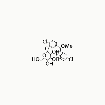 COC(=C1C2CC3CC1CC(Cl)(C3)C2)c1ccc(Cl)c(OC2OC(CO)C(O)C(O)C2O)c1